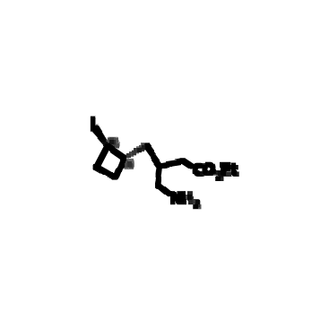 CCOC(=O)CC(CN)C[C@@H]1CC[C@H]1I